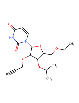 C#CCOC1C(OC(C)C)C(COCC)OC1n1ccc(=O)[nH]c1=O